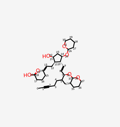 CC#CCCC(C)[C@@H](/C=C/[C@@H]1[C@@H](C/C=C\CCCC(=O)O)[C@@H](O)C[C@H]1OC1CCCCO1)OC1CCCCO1